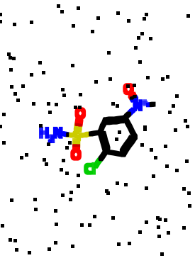 C[N+](=O)c1ccc(Cl)c(S(N)(=O)=O)c1